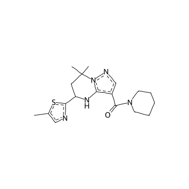 Cc1cnc(C2CC(C)(C)n3ncc(C(=O)N4CCCCC4)c3N2)s1